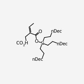 CC=C(CC(=O)O)C(=O)O[Si](CCCCCCCCCCCC)(CCCCCCCCCCCC)CCCCCCCCCCCC